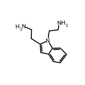 NCCc1cc2ccccc2n1CCN